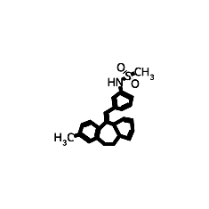 Cc1ccc2c(c1)CCC1C=CC=CC1/C2=C\c1cccc(NS(C)(=O)=O)c1